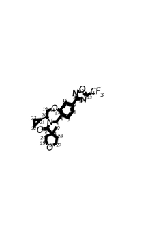 CC1(C(=O)N2Cc3ccc(-c4noc(C(F)(F)F)n4)cc3OC[C@@H]2C2CC2)CCOCC1